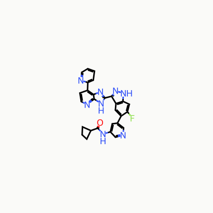 O=C(Nc1cncc(-c2cc3c(-c4nc5c(-c6ccccn6)ccnc5[nH]4)n[nH]c3cc2F)c1)C1CCC1